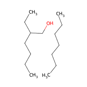 CCCCC(CC)CO.CCCCCCC